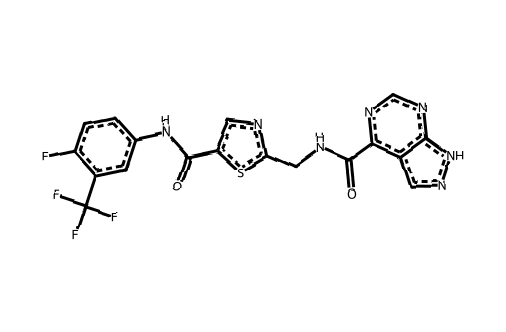 O=C(Nc1ccc(F)c(C(F)(F)F)c1)c1cnc(CNC(=O)c2ncnc3[nH]ncc23)s1